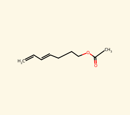 C=CC=CCCCOC(C)=O